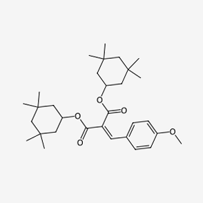 COc1ccc(C=C(C(=O)OC2CC(C)(C)CC(C)(C)C2)C(=O)OC2CC(C)(C)CC(C)(C)C2)cc1